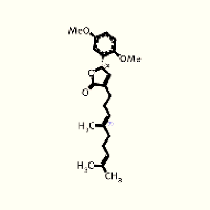 COc1ccc(OC)c([C@@H]2C=C(CC/C=C(\C)CCC=C(C)C)C(=O)O2)c1